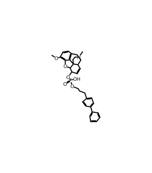 COc1ccc2c3c1OC1C(OP(=O)(O)OCCCc4ccc(-c5ccccc5)cc4)C=CC4C(C2)N(C)CCC341